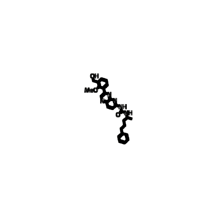 COc1c(CO)cccc1-c1cnc2ccc(NC(=O)NC(C)CCCc3ccccc3)nc2n1